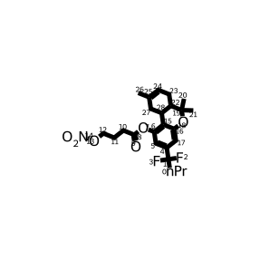 CCCC(F)(F)c1cc(OC(=O)CCCO[N+](=O)[O-])c2c(c1)OC(C)(C)C1CC=C(C)CC21